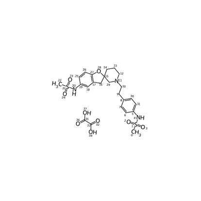 CS(=O)(=O)Nc1ccc(CCN2CCCC3(Cc4cc(NS(C)(=O)=O)ccc4O3)C2)cc1.O=C(O)C(=O)O